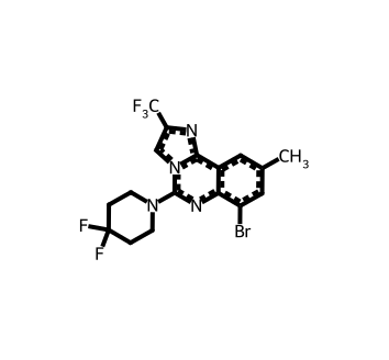 Cc1cc(Br)c2nc(N3CCC(F)(F)CC3)n3cc(C(F)(F)F)nc3c2c1